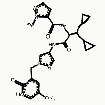 Cc1c[nH]c(=O)c(Cn2cc(NC(=O)C(NC(=O)c3ccnn3C(C)C)C(C3CC3)C3CC3)cn2)c1